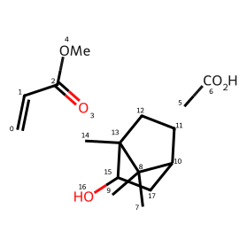 C=CC(=O)OC.CC(=O)O.CC1(C)C2CCC1(C)C(O)C2